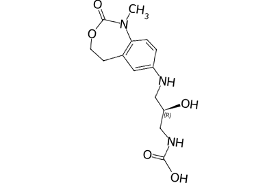 CN1C(=O)OCCc2cc(NC[C@@H](O)CNC(=O)O)ccc21